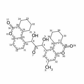 Cc1cc(C(O)C(=O)C(O)c2cccc3oc(=O)c4c(c23)CCCC4)c2c3c(c(=O)oc2c1)CCCC3